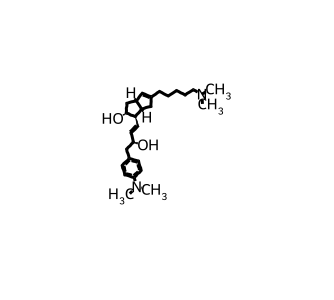 CN(C)CCCCCC1=C[C@H]2C[C@@H](O)[C@H](/C=C/[C@@H](O)Cc3ccc(N(C)C)cc3)[C@H]2C1